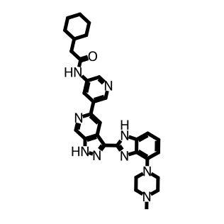 CN1CCN(c2cccc3[nH]c(-c4n[nH]c5cnc(-c6cncc(NC(=O)CC7CCCCC7)c6)cc45)nc23)CC1